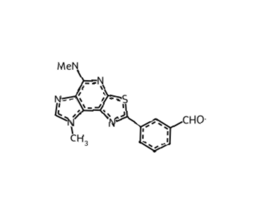 CNc1nc2sc(-c3cccc([C]=O)c3)nc2c2c1ncn2C